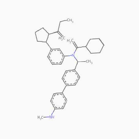 C=C(CC)C1CCCC1c1cccc(N(C(=C)C2CCCCC2)C(C)c2ccc(-c3ccc(NC)cc3)cc2)c1